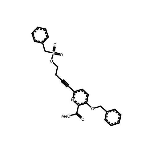 COC(=O)c1nc(C#CCCOS(=O)(=O)Cc2ccccc2)ccc1OCc1ccccc1